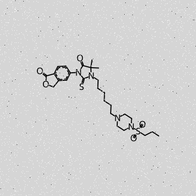 CCCS(=O)(=O)N1CCN(CCCCCCN2C(=S)N(c3ccc4c(c3)COC4=O)C(=O)C2(C)C)CC1